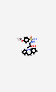 N=S(=O)(NCC(O)CN1c2ccccc2CCc2ccccc21)c1ccc(OC(F)(F)F)cc1